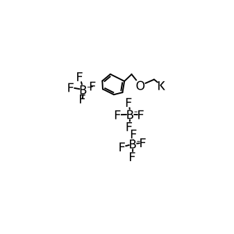 F[B-](F)(F)F.F[B-](F)(F)F.F[B-](F)(F)F.[K][CH2]OCc1ccccc1